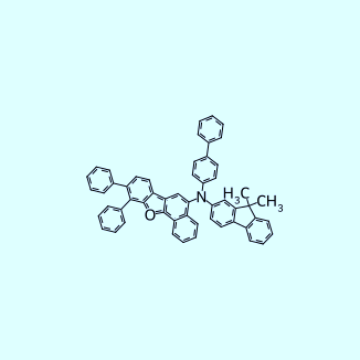 CC1(C)c2ccccc2-c2ccc(N(c3ccc(-c4ccccc4)cc3)c3cc4c5ccc(-c6ccccc6)c(-c6ccccc6)c5oc4c4ccccc34)cc21